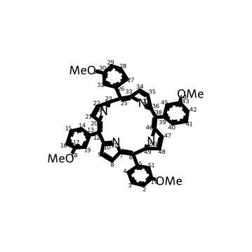 COc1cccc(C2=C3C=CC(=N3)C(c3cccc(OC)c3)=C3C=CC(=N3)C(c3cccc(OC)c3)=C3C=CC(=N3)C(c3cccc(OC)c3)=C3C=CC2=N3)c1